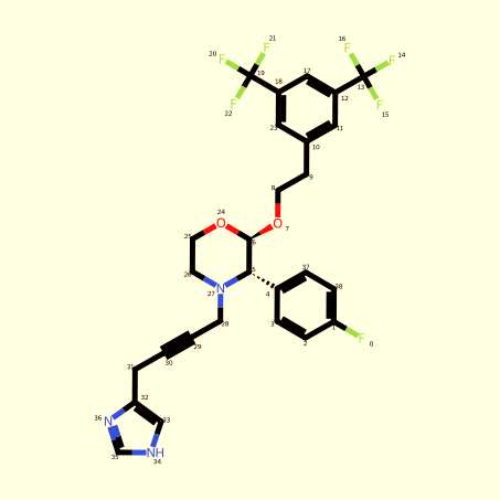 Fc1ccc([C@H]2[C@H](OCCc3cc(C(F)(F)F)cc(C(F)(F)F)c3)OCCN2CC#CCc2c[nH]cn2)cc1